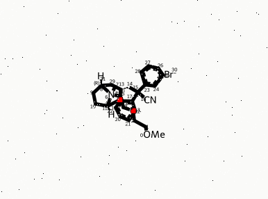 COCCOCC[N+]1(C)[C@@H]2CC[C@H]1C[C@@H](CC(C#N)(c1ccccc1)c1ccccc1)C2.[Br-]